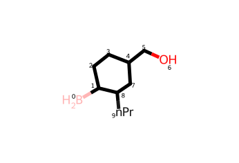 BC1CCC(CO)CC1CCC